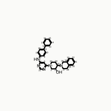 O[C@H]1CN(c2cc(Nc3ccc(-c4ccccc4)cc3)ncn2)CCC1N1CCc2ccccc2C1